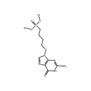 CCOP(=O)(CCCCOn1cnc2c(=O)[nH]c(N)nc21)OCC